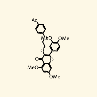 COc1cc(OC)c2c(=O)c(OCCOc3ccc(C(C)=O)cc3)c(-c3ccc(OC)c(OC)c3)oc2c1